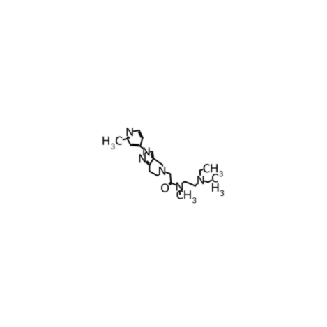 CCN(CC)CCN(C)C(=O)CN1CCc2nn(-c3ccnc(C)c3)cc2C1